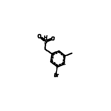 Cc1[c]c(Br)cc(C[SH](=O)=O)c1